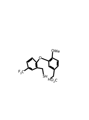 COc1ccc(CC(=O)O)cc1Oc1ccc(C(F)(F)F)cc1CS